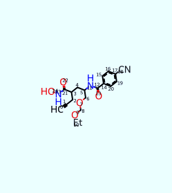 C#CCC(CC(COCOCC)NC(=O)c1ccc(C#N)cc1)C(=O)NO